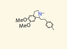 COc1cc2c(cc1OC)C(CCc1ccc(C)cc1)N(C)CC2